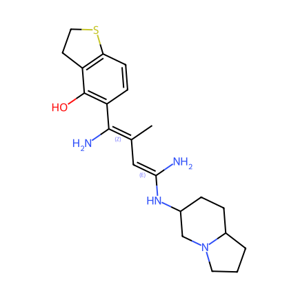 CC(/C=C(\N)NC1CCC2CCCN2C1)=C(/N)c1ccc2c(c1O)CCS2